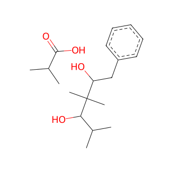 CC(C)C(=O)O.CC(C)C(O)C(C)(C)C(O)Cc1ccccc1